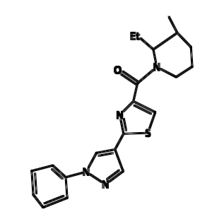 CCC1C(C)CCCN1C(=O)c1csc(-c2cnn(-c3ccccc3)c2)n1